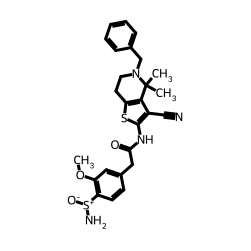 COc1cc(CC(=O)Nc2sc3c(c2C#N)C(C)(C)N(Cc2ccccc2)CC3)ccc1[S+](N)[O-]